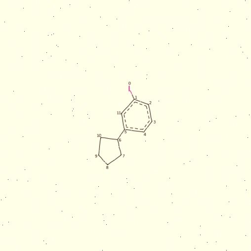 Ic1cccc(C2CCCC2)c1